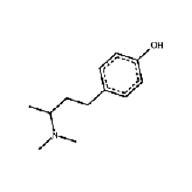 CC(CCc1ccc(O)cc1)N(C)C